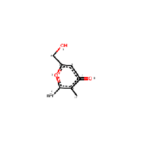 CCCc1oc(CO)cc(=O)c1C